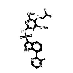 COc1nc(NS(=O)(=O)c2c[nH]c3c(-c4nccnc4C)cccc23)nc(OC)c1OCC(F)F